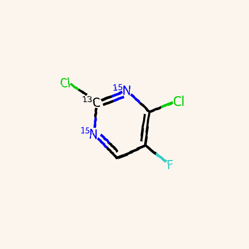 Fc1c[15n][13c](Cl)[15n]c1Cl